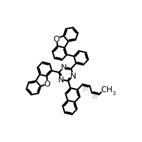 C/C=C\C=C/c1cc2ccccc2cc1-c1nc(-c2ccccc2-c2cccc3oc4ccccc4c23)nc(-c2cccc3c2oc2ccccc23)n1